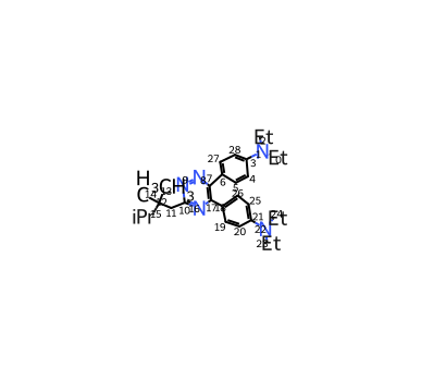 CCN(CC)c1ccc(-c2nnc(CC(C)(C)C(C)C)nc2-c2ccc(N(CC)CC)cc2)cc1